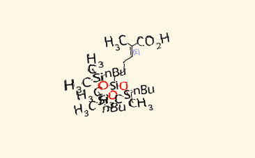 CCCC[Si](C)(C)O[Si](CCC/C=C(\C)C(=O)O)(O[Si](C)(C)CCCC)O[Si](C)(C)CCCC